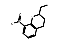 CCC1CCc2cccc([N+](=O)[O-])c2O1